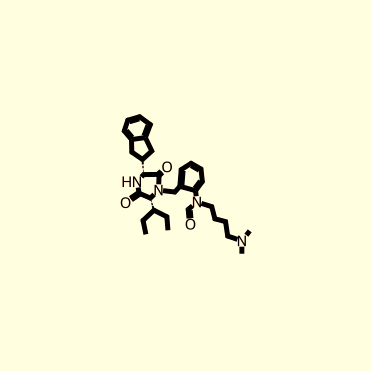 CCC(CC)[C@@H]1C(=O)N[C@H](C2Cc3ccccc3C2)C(=O)N1Cc1ccccc1N(C=O)CCCCN(C)C